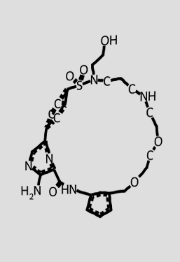 Nc1ncc2nc1C(=O)Nc1cccc(c1)COCCOCCNCCCN(CCO)S(=O)(=O)c1ccc-2cc1